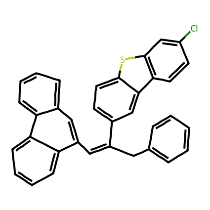 Clc1ccc2c(c1)sc1ccc(/C(=C\c3cc4ccccc4c4ccccc34)Cc3ccccc3)cc12